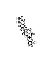 CNC(=O)Nc1ccc2c(c1)CC[C@@]21OC(=O)N(CC(=O)N(Cc2cccc(Cl)c2)[C@@H](C)C2CC2)C1=O